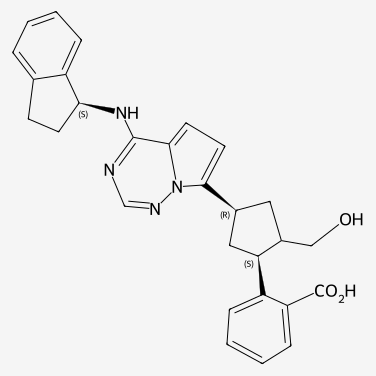 O=C(O)c1ccccc1[C@H]1C[C@@H](c2ccc3c(N[C@H]4CCc5ccccc54)ncnn23)CC1CO